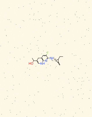 C=C1C(CC)[C@H]1CNc1nc2c(cc1F)CC(C(C)O)=CN2